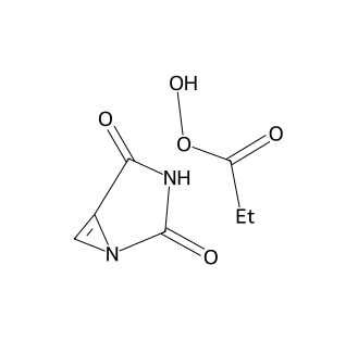 CCC(=O)OO.O=c1[nH]c(=O)n2cc1-2